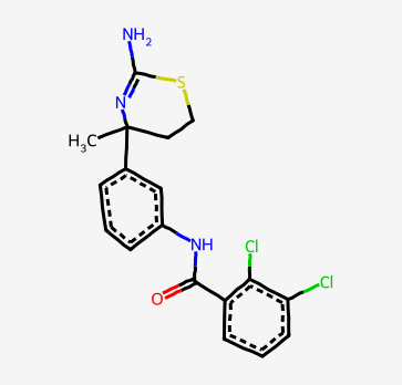 CC1(c2cccc(NC(=O)c3cccc(Cl)c3Cl)c2)CCSC(N)=N1